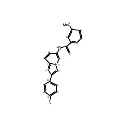 COc1cccc(C(=O)Nc2ccc3nc(-c4ccc(F)cc4)cn3c2)c1